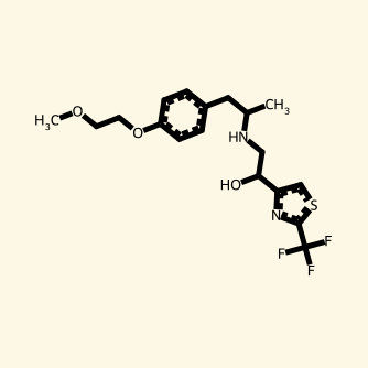 COCCOc1ccc(CC(C)NCC(O)c2csc(C(F)(F)F)n2)cc1